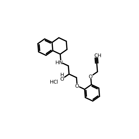 C#CCOc1ccccc1OCC(O)CNC1CCCc2ccccc21.Cl